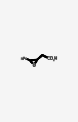 CCCC1OC1CC(=O)O